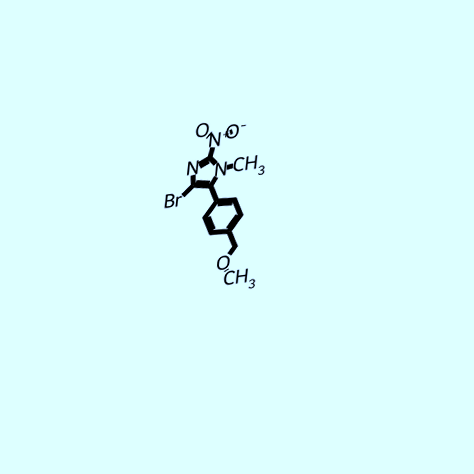 COCc1ccc(-c2c(Br)nc([N+](=O)[O-])n2C)cc1